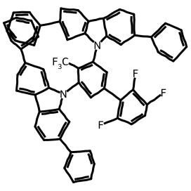 Fc1ccc(F)c(-c2cc(-n3c4cc(-c5ccccc5)ccc4c4ccc(-c5ccccc5)cc43)c(C(F)(F)F)c(-n3c4cc(-c5ccccc5)ccc4c4ccc(-c5ccccc5)cc43)c2)c1F